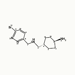 N[C@H]1CC[C@H](CNCc2ccc(Br)nn2)CC1